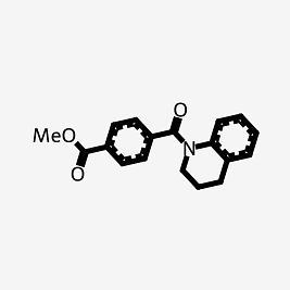 COC(=O)c1ccc(C(=O)N2CCCc3ccccc32)cc1